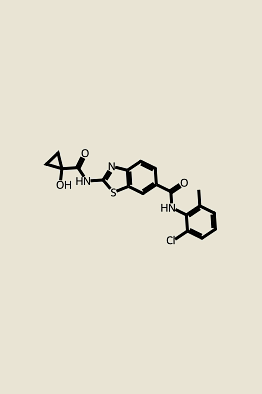 Cc1cccc(Cl)c1NC(=O)c1ccc2nc(NC(=O)C3(O)CC3)sc2c1